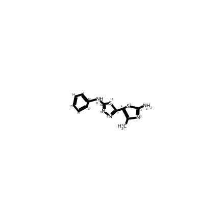 Cc1nc(N)sc1-c1nnc(Nc2ccccc2)s1